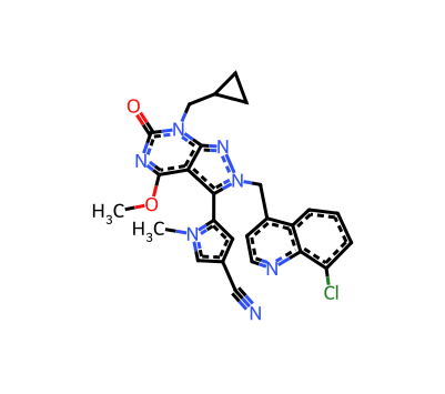 COc1nc(=O)n(CC2CC2)c2nn(Cc3ccnc4c(Cl)cccc34)c(-c3cc(C#N)cn3C)c12